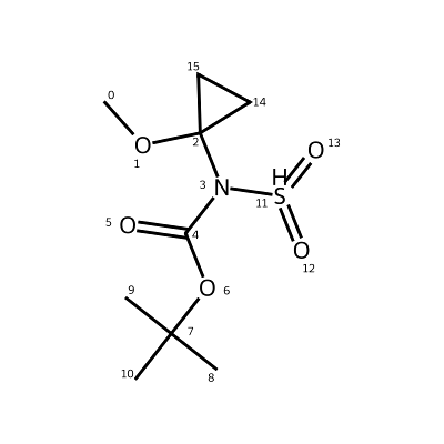 COC1(N(C(=O)OC(C)(C)C)[SH](=O)=O)CC1